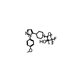 COc1ccc(-n2nccc2C2CCN(C(=O)[C@@](C)(O)C(F)(F)F)CC2)cc1